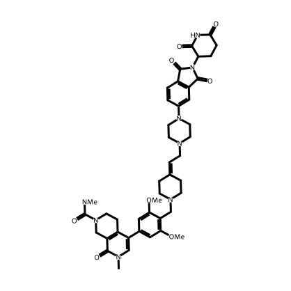 CNC(=O)N1CCc2c(-c3cc(OC)c(CN4CCC(=CCN5CCN(c6ccc7c(c6)C(=O)N(C6CCC(=O)NC6=O)C7=O)CC5)CC4)c(OC)c3)cn(C)c(=O)c2C1